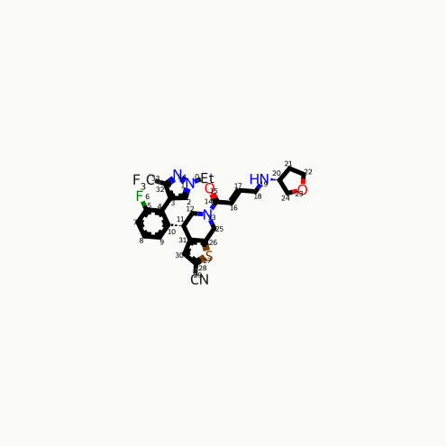 CCn1cc(-c2c(F)cccc2[C@@H]2CN(C(=O)/C=C/CN[C@@H]3CCOC3)Cc3sc(C#N)cc32)c(C(F)(F)F)n1